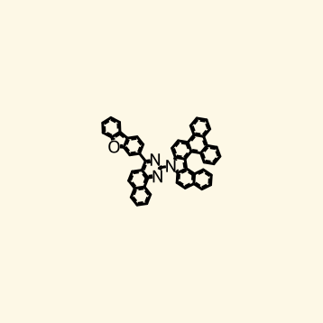 c1ccc2c(c1)ccc1c(-c3ccc4c(c3)oc3ccccc34)nc(-n3c4ccc5ccccc5c4c4c5c6ccccc6c6ccccc6c5ccc43)nc12